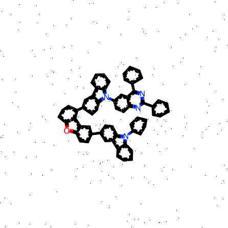 c1ccc(-c2nc(-c3ccccc3)c3cc(-n4c5ccccc5c5cc(-c6cccc7oc8ccc(-c9ccc%10c(c9)c9ccccc9n%10-c9ccccc9)cc8c67)ccc54)ccc3n2)cc1